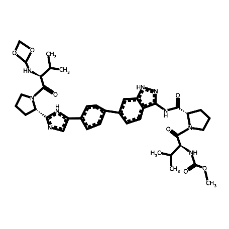 COC(=O)N[C@H](C(=O)N1CCC[C@H]1C(=O)Nc1n[nH]c2cc(-c3ccc(-c4cnc([C@@H]5CCCN5C(=O)[C@@H](NC5OCO5)C(C)C)[nH]4)cc3)ccc12)C(C)C